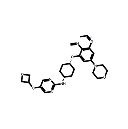 C=Nc1c(/N=C\C)cc(N2CCOCC2)cc1O[C@H]1CC[C@@H](Nc2ncc(OC3COC3)cn2)CC1